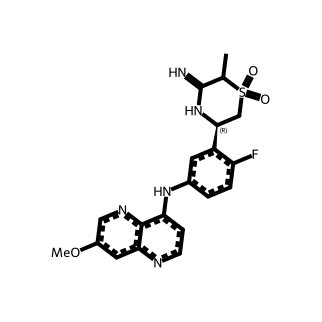 COc1cnc2c(Nc3ccc(F)c([C@@H]4CS(=O)(=O)C(C)C(=N)N4)c3)ccnc2c1